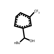 CCCCC(O)c1cccc(C(F)(F)F)c1